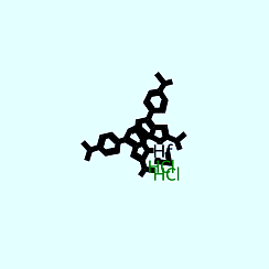 CC(C)C1=Cc2c(-c3ccc(C(C)C)cc3)cccc2[CH]1[Hf]1([CH]2C(C(C)C)=Cc3c(-c4ccc(C(C)C)cc4)cccc32)[CH2]C[CH2]1.Cl.Cl